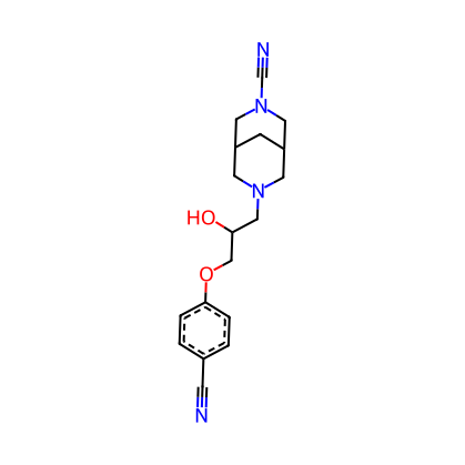 N#Cc1ccc(OCC(O)CN2CC3CC(CN(C#N)C3)C2)cc1